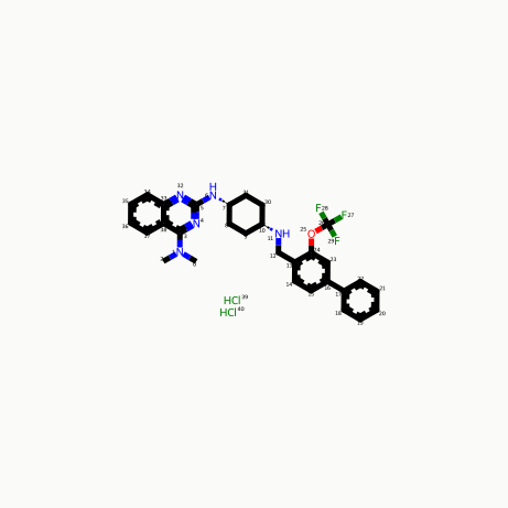 CN(C)c1nc(N[C@H]2CC[C@@H](NCc3ccc(-c4ccccc4)cc3OC(F)(F)F)CC2)nc2ccccc12.Cl.Cl